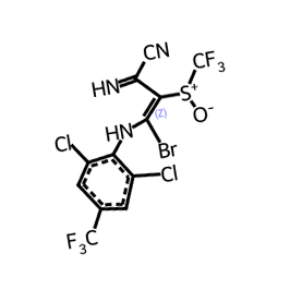 N#CC(=N)/C(=C(/Br)Nc1c(Cl)cc(C(F)(F)F)cc1Cl)[S+]([O-])C(F)(F)F